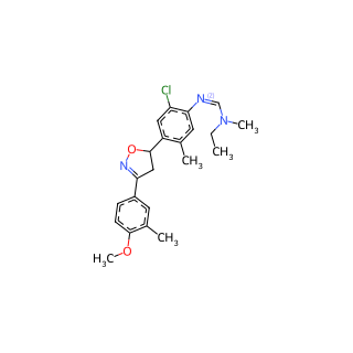 CCN(C)/C=N\c1cc(C)c(C2CC(c3ccc(OC)c(C)c3)=NO2)cc1Cl